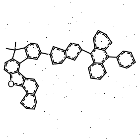 CC1(C)c2ccc(-c3ccc4cc(-c5c6ccccc6c(-c6ccccc6)c6ccccc56)ccc4c3)cc2-c2c1ccc1oc3c4ccccc4ccc3c21